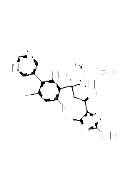 Cc1nc(C(=O)C[C@](C)(N[S+]([O-])C(C)(C)C)c2cc(-c3cncnc3)c(F)cc2F)c(C)o1